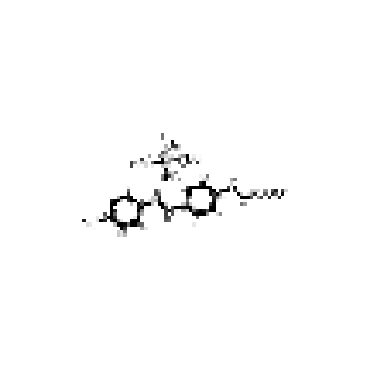 CCCC[N+](CCCC)(CCCC)CCCC.N#Cc1ccc(N=Nc2ccc(OCC(=O)[O-])cc2)cc1